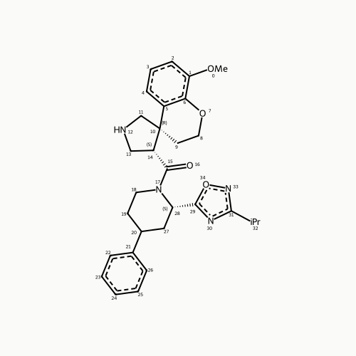 COc1cccc2c1OCC[C@]21CNC[C@H]1C(=O)N1CCC(c2ccccc2)C[C@H]1c1nc(C(C)C)no1